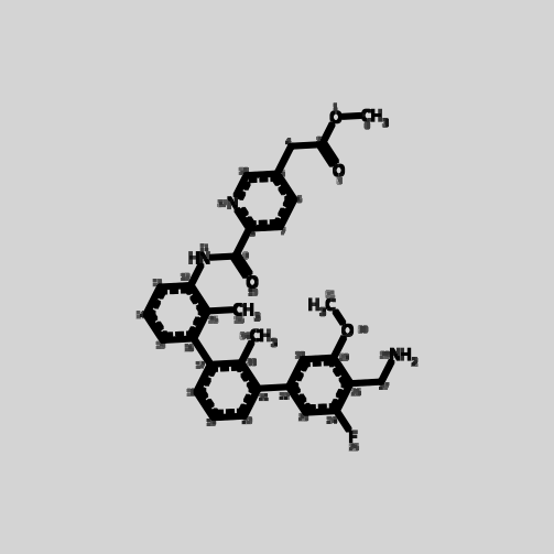 COC(=O)Cc1ccc(C(=O)Nc2cccc(-c3cccc(-c4cc(F)c(CN)c(OC)c4)c3C)c2C)nc1